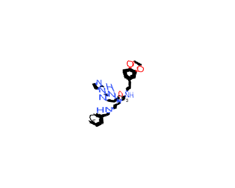 CC1(N(CCCNCc2ccccc2)CC(=O)NCCc2ccc3c(c2)OCCO3)C=CN=C(n2ccnc2)N1